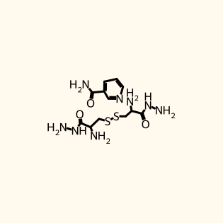 NC(=O)c1cccnc1.NNC(=O)C(N)CSSCC(N)C(=O)NN